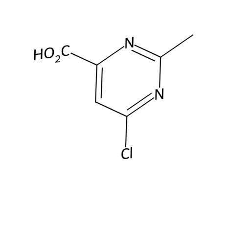 Cc1nc(Cl)cc(C(=O)O)n1